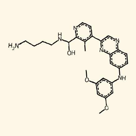 COc1cc(Nc2ccc3ncc(-c4ccnc(C(O)NCCCCN)c4C)nc3c2)cc(OC)c1